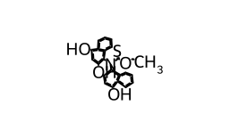 CCOC(=S)N(c1ccc(O)c2ccccc12)c1c(O)cc(O)c2ccccc12